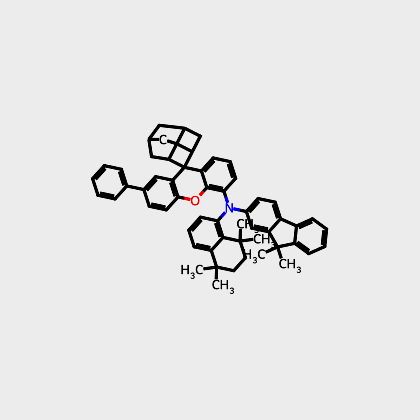 CC1(C)CCC(C)(C)c2c(N(c3ccc4c(c3)C(C)(C)c3ccccc3-4)c3cccc4c3Oc3ccc(-c5ccccc5)cc3C43C4CC5CC6CC3C64C5)cccc21